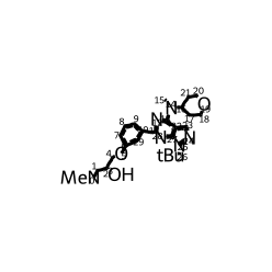 CNCC(O)COc1cccc(-c2nc(N(C)C3CCOCC3)c3cnn(C(C)(C)C)c3n2)c1